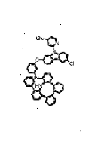 CC(C)(C)c1ccnc(-n2c3ccc(Cl)cc3c3ccc(Oc4cccc(Nc5cccc6c5[nH]c5c(-c7ccccc7)cccc5c5ccccc5c5ccccc65)c4)cc32)c1